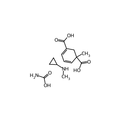 CC1(C(=O)O)C=CC=C(C(=O)O)C1.CNC1CC1.NC(=O)O